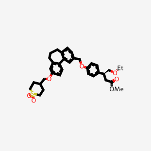 CCOC[C@@H](CC(=O)OC)c1ccc(OCc2ccc3c(c2)-c2ccc(OCC4CCS(=O)(=O)CC4)cc2CCC3)cc1